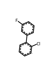 Fc1cccc(-c2ccc[c]c2Cl)c1